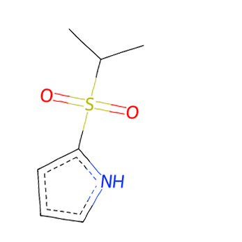 CC(C)S(=O)(=O)c1ccc[nH]1